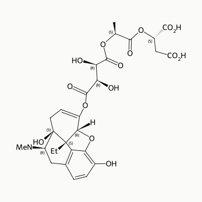 CC[C@]12c3c4ccc(O)c3O[C@H]1C(OC(=O)[C@H](O)[C@@H](O)C(=O)O[C@@H](C)C(=O)O[C@@H](CC(=O)O)C(=O)O)=CC[C@@]2(O)[C@H](NC)C4